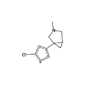 CN1CC2CC2(c2csc(Cl)c2)C1